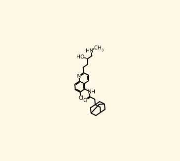 CNC[C@H](O)CCc1ccc2c(NC(=O)CC34CC5CC(CC(C5)C3)C4)c(Cl)ccc2n1